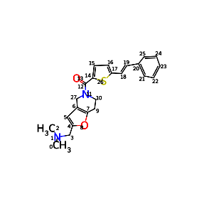 CN(C)Cc1cc2c(o1)CCN(C(=O)c1ccc(/C=C/c3ccccc3)s1)C2